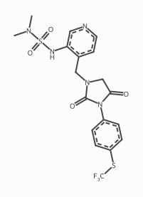 CN(C)S(=O)(=O)Nc1cnccc1CN1CC(=O)N(c2ccc(SC(F)(F)F)cc2)C1=O